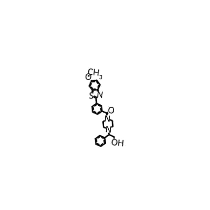 COc1ccc2nc(-c3cccc(C(=O)N4CCN(C(CO)c5ccccc5)CC4)c3)sc2c1